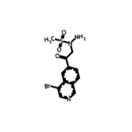 CS(=O)(=O)N(N)CC(=O)c1ccc2cncc(Br)c2c1